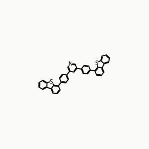 c1ccc2c(c1)sc1c(-c3ccc(-c4cncc(-c5ccc(-c6cccc7c6sc6ccccc67)cc5)c4)cc3)cccc12